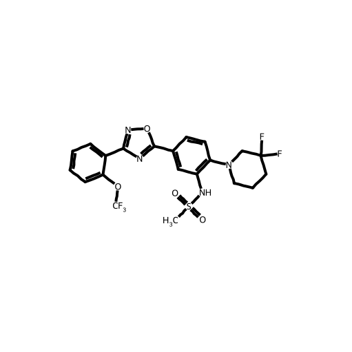 CS(=O)(=O)Nc1cc(-c2nc(-c3ccccc3OC(F)(F)F)no2)ccc1N1CCCC(F)(F)C1